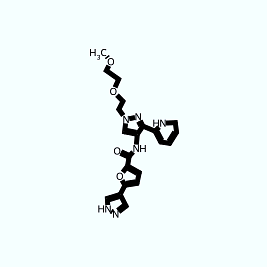 COCCOCCn1cc(NC(=O)c2ccc(-c3cn[nH]c3)o2)c(C2=CC=CCN2)n1